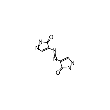 O=C1N=NC=C1N=NC1=CN=NC1=O